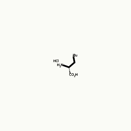 CCC(C)C[C@@H](N)C(=O)O.Cl